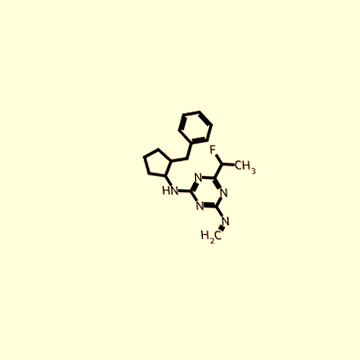 C=Nc1nc(NC2CCCC2Cc2ccccc2)nc(C(C)F)n1